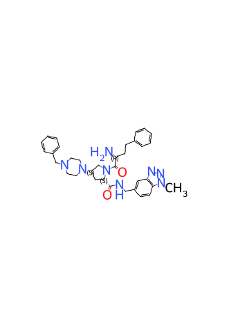 Cn1nnc2cc(CNC(=O)[C@@H]3C[C@H](N4CCN(Cc5ccccc5)CC4)CN3C(=O)[C@H](N)CCc3ccccc3)ccc21